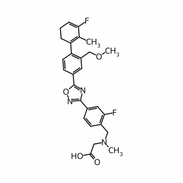 COCc1cc(-c2nc(-c3ccc(CN(C)CC(=O)O)c(F)c3)no2)ccc1C1=C(C)C(F)=CCC1